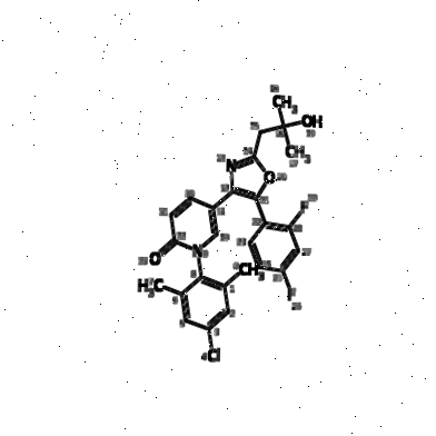 Cc1cc(Cl)cc(C)c1-n1cc(-c2nc(CC(C)(C)O)oc2-c2ccc(F)cc2F)ccc1=O